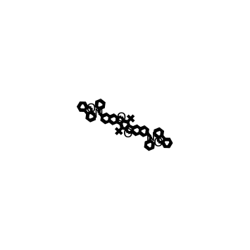 CC(C)(C)c1c2oc3cc4cc(N(c5ccccc5)c5cccc6c5oc5ccccc56)ccc4cc3c2c(C(C)(C)C)c2oc3cc4cc(N(c5ccccc5)c5cccc6c5oc5ccccc56)ccc4cc3c12